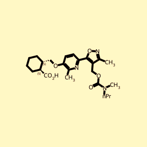 CCCN(C)C(=O)OCc1c(C)noc1-c1ccc(OC[C@H]2CCCC[C@@H]2C(=O)O)c(C)n1